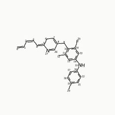 C=C/C=C\C=C1/CC=C(Cc2c(C)cc(Nc3ccc(C)cc3)cc2F)C=N1